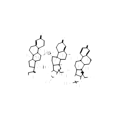 CC1(C)O[C@@H]2C[C@H]3[C@@H]4CCC5=CC(=O)C=C[C@]5(C)[C@H]4[C@@H](O)C[C@]3(C)[C@]2(C(=O)CO)O1.CCC[C@@H]1O[C@@H]2C[C@H]3[C@@H]4C[C@H](F)C5=CC(=O)CC[C@]5(C)[C@@]4(F)[C@@H](O)C[C@]3(C)[C@]2(C(=O)CO)O1.C[C@]12CCC(=O)C=C1CC[C@H]1[C@@H]3CC[C@](O)(C(=O)CO)[C@@]3(C)C[C@H](O)[C@@]12F